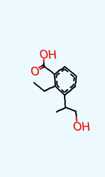 CCc1c(C(=O)O)cccc1C(C)CO